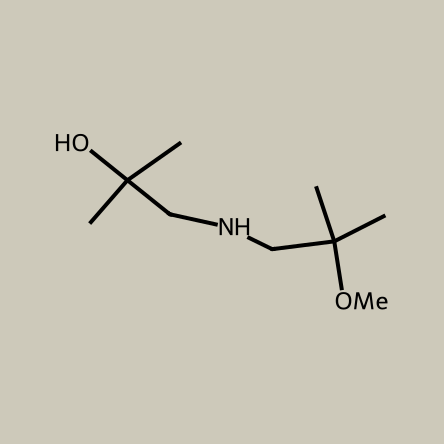 COC(C)(C)CNCC(C)(C)O